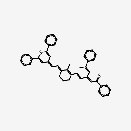 CC1=C(/C=C/C(=C/C(=S)c2ccccc2)/C=C(\C)c2ccccc2)CCC/C1=C\C=C1C=C(c2ccccc2)SC(c2ccccc2)=C1